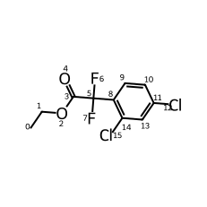 CCOC(=O)C(F)(F)c1ccc(Cl)cc1Cl